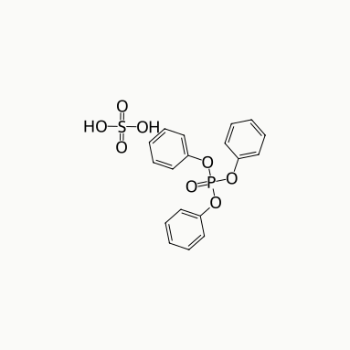 O=P(Oc1ccccc1)(Oc1ccccc1)Oc1ccccc1.O=S(=O)(O)O